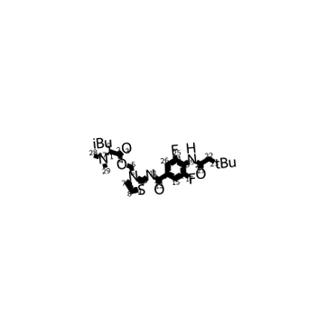 CC[C@H](C)[C@@H](C(=O)OCn1ccs/c1=N\C(=O)c1cc(F)c(NC(=O)CC(C)(C)C)c(F)c1)N(C)C